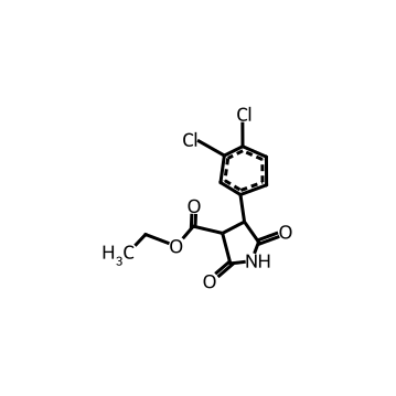 CCOC(=O)C1C(=O)NC(=O)C1c1ccc(Cl)c(Cl)c1